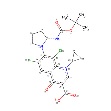 CC(C)(C)OC(=O)NC1CCCN1c1c(F)cc2c(=O)c(C(=O)O)cn(C3CC3)c2c1Cl